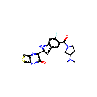 CN(C)[C@H]1CCN(C(=O)c2cc3cc(-c4nc5cscc5[nH]c4=O)[nH]c3cc2F)C1